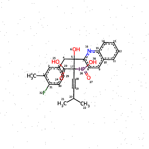 Cc1cc(CC(O)(c2ccc3ccccc3n2)C(C#CC(C)C)(C(=O)O)[PH](=O)O)ccc1F